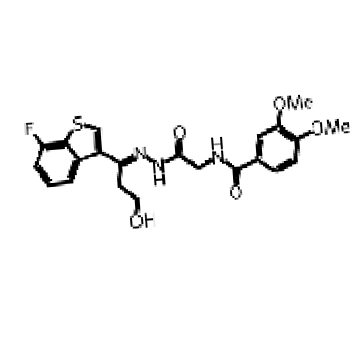 COc1ccc(C(=O)NCC(=O)N/N=C(\CCO)c2csc3c(F)cccc23)cc1OC